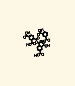 O=C(O)c1ccc(C(=O)OC(=O)c2ccc(C(=O)O)cc2C(=O)O)c(C(=O)O)c1.O=C(O)c1cccc(C(=O)O)c1